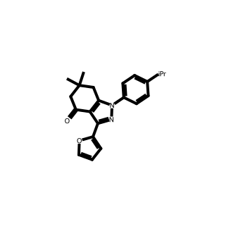 CC(C)c1ccc(-n2nc(-c3ccco3)c3c2CC(C)(C)CC3=O)cc1